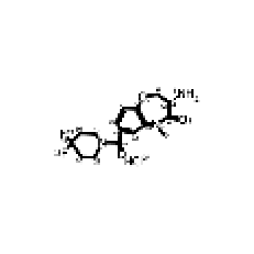 CN1C(=O)[C@@H](N)COc2ccc(C(=O)N3CCC(F)(F)CC3)cc21.Cl